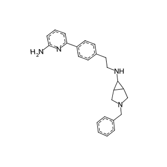 Nc1cccc(-c2ccc(CCNC3C4CN(Cc5ccccc5)CC43)cc2)n1